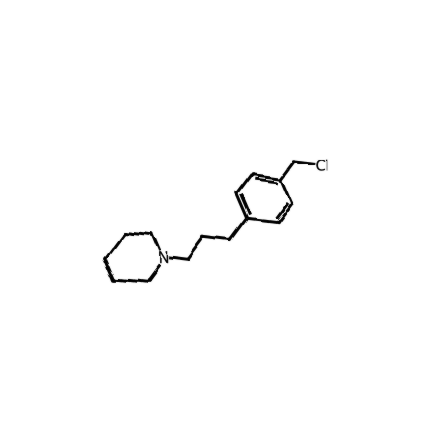 ClCc1ccc(CCCN2CCCCC2)cc1